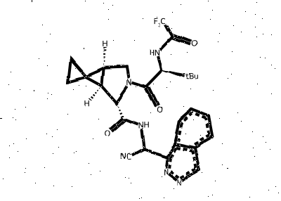 CC(C)(C)[C@H](NC(=O)C(F)(F)F)C(=O)N1C[C@H]2[C@@H]([C@H]1C(=O)NC(C#N)c1nncc3ccccc13)C21CC1